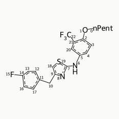 CCCCCOc1ccc(Nc2nc(Cc3ccc(F)cc3)cs2)cc1C(F)(F)F